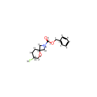 O=C(OCc1ccccc1)N1CC2(CC[C@H](F)CO2)C1